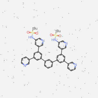 CC(C)(C)S(=O)(=O)Nc1cncc(-c2cc(-c3cccnc3)cc(-c3cccc(-c4cc(-c5cccnc5)cc(-c5cncc(NS(=O)(=O)C(C)(C)C)c5)c4)c3)c2)c1